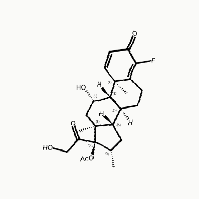 CC(=O)O[C@]1(C(=O)CO)[C@@H](C)C[C@H]2[C@@H]3CCC4=C(F)C(=O)C=C[C@]4(C)[C@H]3[C@@H](O)C[C@@]21C